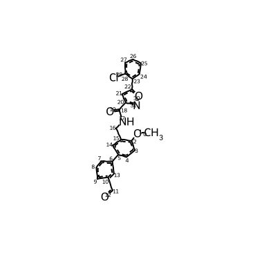 COc1ccc(-c2cccc(C=O)c2)cc1CNC(=O)c1cc(-c2ccccc2Cl)on1